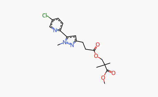 COC(=O)C(C)(C)COC(=O)CCc1cc(-c2ccc(Cl)cn2)n(C)n1